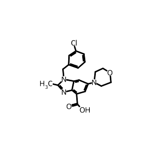 Cc1nc2c(C(=O)O)cc(N3CCOCC3)cc2n1Cc1cccc(Cl)c1